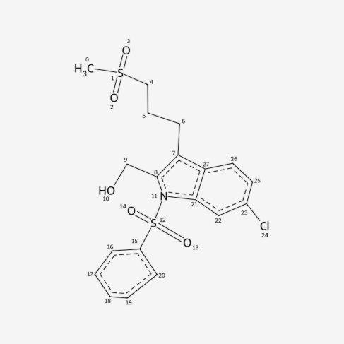 CS(=O)(=O)CCCc1c(CO)n(S(=O)(=O)c2ccccc2)c2cc(Cl)ccc12